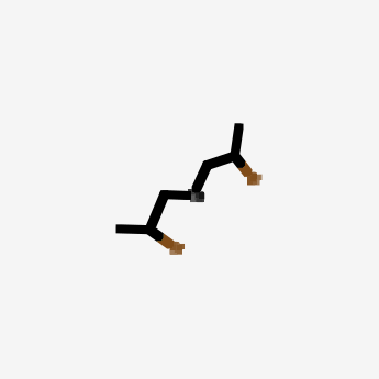 CC(Br)C[Te]CC(C)Br